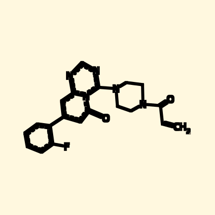 C=CC(=O)N1CCN(c2ncnc3cc(-c4ccccc4F)cc(=O)n23)CC1